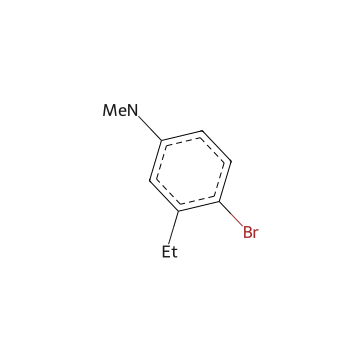 CCc1cc(NC)ccc1Br